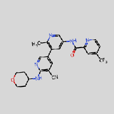 Cc1ncc(NC(=O)c2cc(C(F)(F)F)ccn2)cc1-c1cnc(NC2CCOCC2)c(C#N)c1